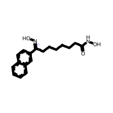 O=C(CCCCCC/C(=N/O)c1ccc2ccccc2c1)NO